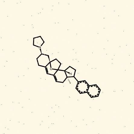 C[C@]12CC=C3C=C4CC[C@@H](N5CCCC5)C[C@]45CCC3(O5)[C@@H]1CCC2c1ccc2ccccc2c1